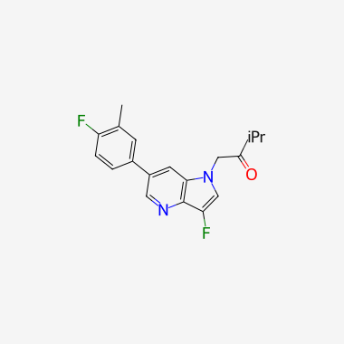 Cc1cc(-c2cnc3c(F)cn(CC(=O)C(C)C)c3c2)ccc1F